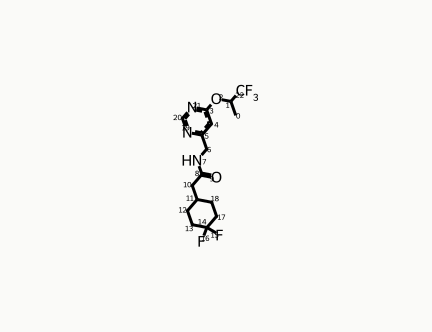 CC(Oc1cc(CNC(=O)CC2CCC(F)(F)CC2)ncn1)C(F)(F)F